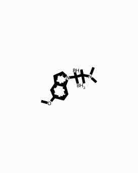 BC(B)(n1ccc2cc(OC)ccc21)C(C)(C)N(C)C